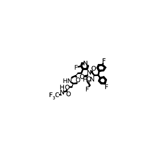 N[C@H](C(=O)N(C(=O)OCCF)c1cncc(F)c1CC[C@@H]1CN[C@H](COC(=O)NCC(F)(F)F)CO1)C(c1ccc(F)cc1)c1ccc(F)cc1